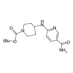 CC(C)(C)OC(=O)N1CCC(Nc2ccc(C(N)=O)cn2)CC1